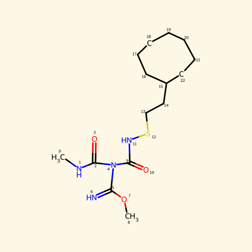 CNC(=O)N(C(=N)OC)C(=O)NSCCC1CCCCCCC1